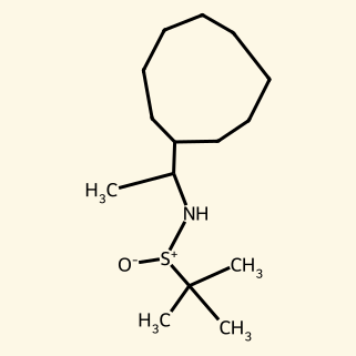 CC(N[S+]([O-])C(C)(C)C)C1CCCCCCCC1